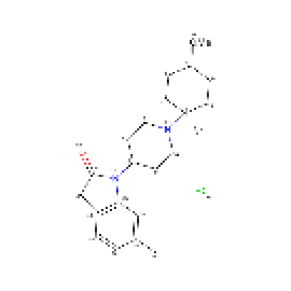 CO[C@H]1CC[C@](C)(N2CCC(N3C(=O)Cc4ccc(C)cc43)CC2)CC1.Cl